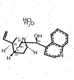 C=C[C@H]1C[N@]2CC[C@H]1C[C@@H]2[C@@H](O)c1ccnc2ccccc12.Cl.O